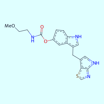 COCCNC(=O)Oc1ccc2[nH]cc(Cc3c[nH]c4ncsc34)c2c1